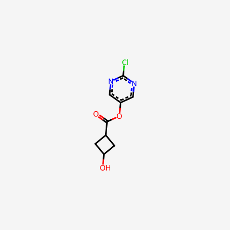 O=C(Oc1cnc(Cl)nc1)C1CC(O)C1